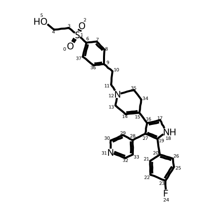 O=S(=O)(CCO)c1ccc(CCN2CC=C(c3c[nH]c(-c4ccc(F)cc4)c3-c3ccncc3)CC2)cc1